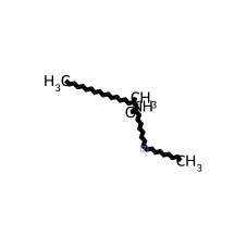 CCCCCCCC/C=C\CCCCCCCC(=O)NC(C)CCCCCCCCCCCCCCCC